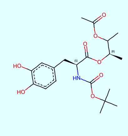 CC(=O)OC(C)[C@@H](C)OC(=O)[C@H](Cc1ccc(O)c(O)c1)NC(=O)OC(C)(C)C